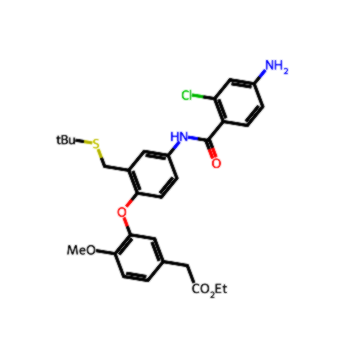 CCOC(=O)Cc1ccc(OC)c(Oc2ccc(NC(=O)c3ccc(N)cc3Cl)cc2CSC(C)(C)C)c1